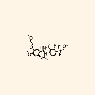 COCCOc1cc2c(NC(C)c3cccc(C(F)(F)COC)c3F)nc(C)nc2cc1OC